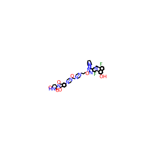 C#Cc1c(F)ccc2cc(O)cc(-c3ncc4c(N5CC6CCC(C5)N6)nc(OCCCN5CCN(CC(=O)N6CCN(c7ccc8c(c7)C(=O)N(C7CCC(=O)NC7=O)C8=O)CC6)CC5)nc4c3F)c12